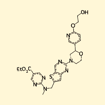 CCOC(=O)c1cnc(N(C)Cc2cc3nc(N4CCOC(c5ccc(OCCO)nc5)C4)ncc3s2)nc1